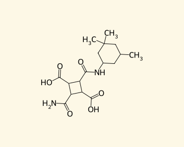 CC1CC(NC(=O)C2C(C(=O)O)C(C(N)=O)C2C(=O)O)CC(C)(C)C1